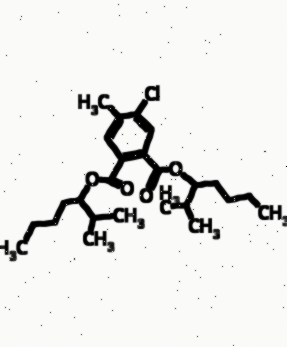 CCCCC(OC(=O)c1cc(C)c(Cl)cc1C(=O)OC(CCCC)C(C)C)C(C)C